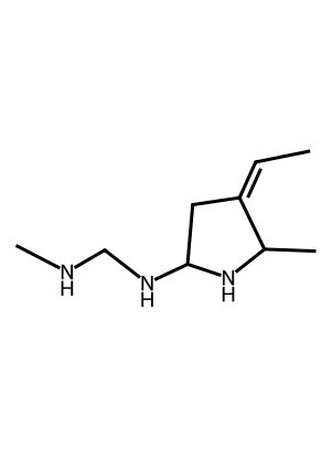 C/C=C1/CC(NCNC)NC1C